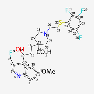 COc1ccc2ncc(CF)c(C(O)CCC3(C(=O)O)CCN(CCSc4cc(F)cc(F)c4F)CC3)c2c1